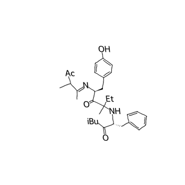 CCC(C)C(=O)[C@@H](Cc1ccccc1)NC(C)(CC)C(=O)[C@H](Cc1ccc(O)cc1)/N=C(\C)C(C)C(C)=O